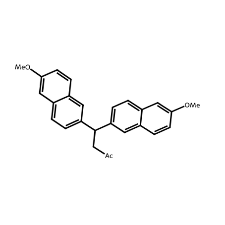 COc1ccc2cc(C(CC(C)=O)c3ccc4cc(OC)ccc4c3)ccc2c1